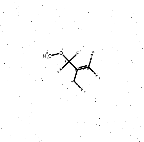 COC(F)(F)C(CF)=C(F)F